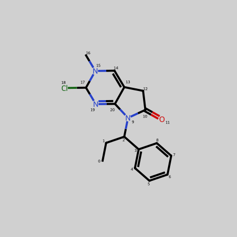 CCC(c1ccccc1)N1C(=O)CC2=CN(C)C(Cl)N=C21